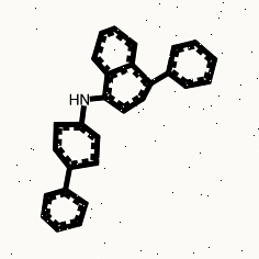 c1ccc(-c2ccc(Nc3ccc(-c4ccccc4)c4ccccc34)cc2)cc1